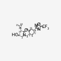 C#CCN(Cc1ccc(-c2noc(C(F)(F)F)n2)cc1)C(=O)CC1CC1